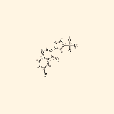 CCS(=O)(=O)c1nnc(-c2coc3ccc(Br)cc3c2=O)s1